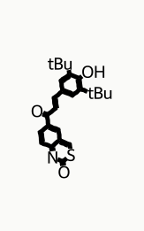 CC(C)(C)c1cc(C=CC(=O)c2ccc3nc(=O)scc3c2)cc(C(C)(C)C)c1O